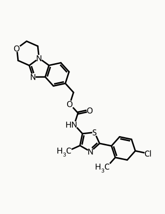 CC1=C(c2nc(C)c(NC(=O)OCc3ccc4c(c3)nc3n4CCOC3)s2)C=CC(Cl)C1